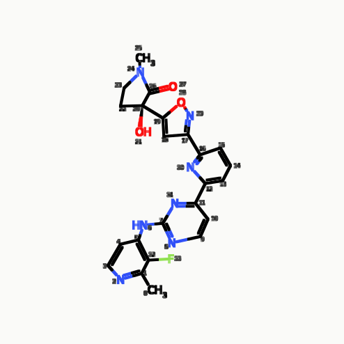 Cc1nccc(Nc2nccc(-c3cccc(-c4cc([C@]5(O)CCN(C)C5=O)on4)n3)n2)c1F